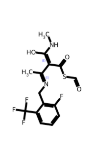 CN/C(O)=C(C(=O)SC=O)/C(C)=N/Cc1c(F)cccc1C(F)(F)F